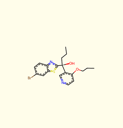 CCCOc1ccncc1[C@@](O)(CCC)c1nc2ccc(Br)cc2s1